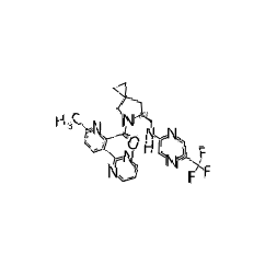 Cc1ccc(-c2ncccn2)c(C(=O)N2CC3(CC3)C[C@H]2CNc2cnc(C(F)(F)F)cn2)n1